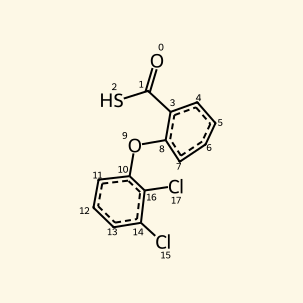 O=C(S)c1ccccc1Oc1cccc(Cl)c1Cl